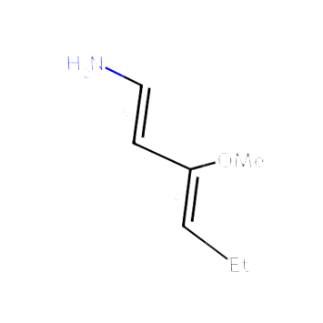 CC/C=C(/C=C/N)OC